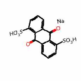 O=C1c2cccc(S(=O)(=O)O)c2C(=O)c2cccc(S(=O)(=O)O)c21.[Na]